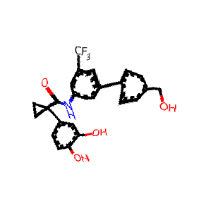 O=C(Nc1cc(-c2ccc(CO)cc2)cc(C(F)(F)F)c1)C1(c2ccc(O)c(O)c2)CC1